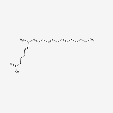 CCCCC/C=C/C/C=C/C/C=C/C(C)/C=C/CCCC(=O)O